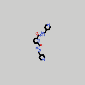 O=C(NN=Cc1ccncc1)c1cccc(C(=O)NN=Cc2ccncc2)n1